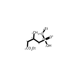 CCOC(=O)CC(C)CP(=O)(O)OCC